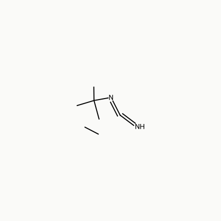 CC.CC(C)(C)N=C=N